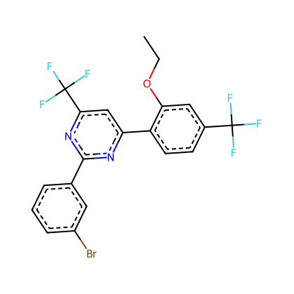 CCOc1cc(C(F)(F)F)ccc1-c1cc(C(F)(F)F)nc(-c2cccc(Br)c2)n1